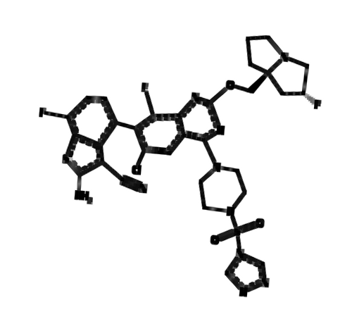 N#Cc1c(N)sc2c(F)ccc(-c3c(Cl)cc4c(N5CCN(S(=O)(=O)n6cnnc6)CC5)nc(OC[C@@]56CCCN5C[C@H](F)C6)nc4c3F)c12